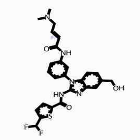 CN(C)C/C=C/C(=O)Nc1cccc(-n2c(NC(=O)c3ccc(C(F)F)s3)nc3cc(CO)ccc32)c1